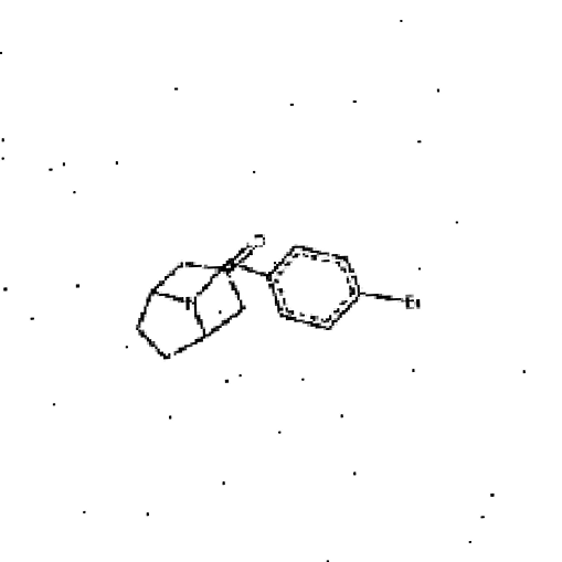 O=C1CC2CCC(C1)N2Cc1ccc(Br)cc1